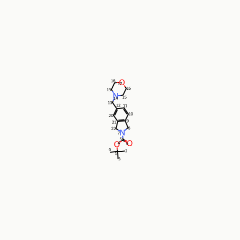 CC(C)(C)OC(=O)N1Cc2ccc(CN3CCOCC3)cc2C1